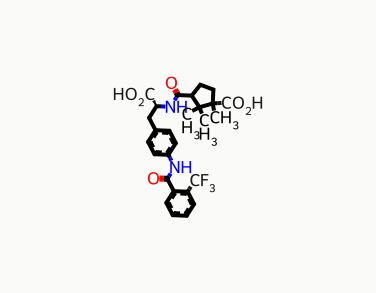 CC1(C(=O)O)CCC(C(=O)N[C@@H](Cc2ccc(NC(=O)c3ccccc3C(F)(F)F)cc2)C(=O)O)C1(C)C